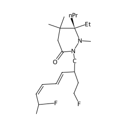 CCC[C@@]1(CC)N(C)N(CC(C=C/C=C\C(C)F)CCF)C(=O)CC1(C)C